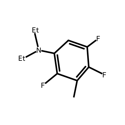 CCN(CC)c1cc(F)c(F)c(C)c1F